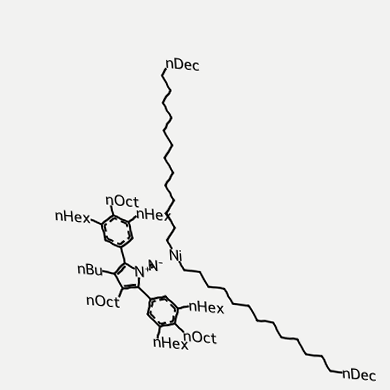 CCCCCCCCC1=C(c2cc(CCCCCC)c(CCCCCCCC)c(CCCCCC)c2)[N+](=[N-])C(c2cc(CCCCCC)c(CCCCCCCC)c(CCCCCC)c2)=C1CCCC.CCCCCCCCCCCCCCCCCCCCCC[CH2][Ni][CH2]CCCCCCCCCCCCCCCCCCCCCC